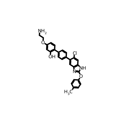 Cc1ccc(Oc2nc3cc(-c4ccc(-c5ccc(OCCN)cc5O)cc4)c(Cl)cc3[nH]2)cc1